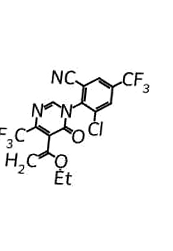 C=C(OCC)c1c(C(F)(F)F)ncn(-c2c(Cl)cc(C(F)(F)F)cc2C#N)c1=O